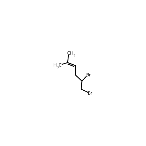 CC(C)=CCC(Br)CBr